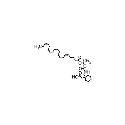 CC/C=C\C/C=C\C/C=C\C/C=C\C/C=C\CCCC(=O)OC(C)OC(=O)NCC1(CC(=O)O)CCCCC1